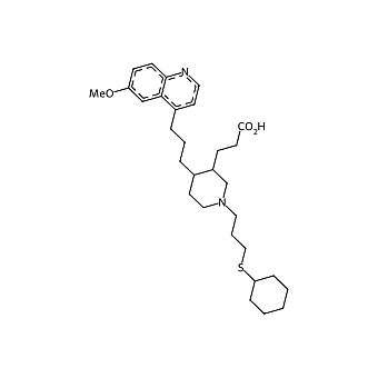 COc1ccc2nccc(CCCC3CCN(CCCSC4CCCCC4)CC3CCC(=O)O)c2c1